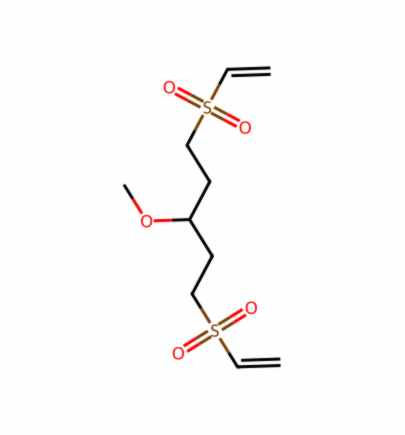 C=CS(=O)(=O)CCC(CCS(=O)(=O)C=C)OC